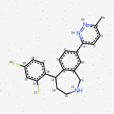 Cc1ccc(-c2ccc3c(c2)CNCCC3c2ccc(F)cc2F)nn1